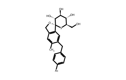 CC(=O)c1ccc(Cc2cc3c(cc2C)CO[C@]32S[C@H](CO)[C@@H](O)[C@H](O)[C@H]2O)cc1